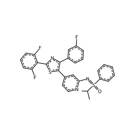 CC(C)S(=O)(=Nc1cc(-c2sc(-c3c(F)cccc3F)nc2-c2cccc(F)c2)ccn1)c1ccccc1